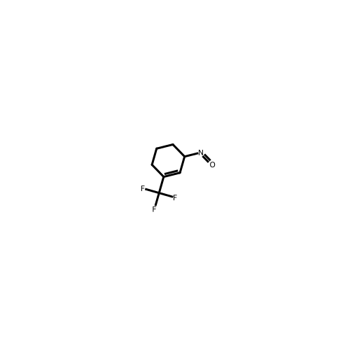 O=NC1C=C(C(F)(F)F)CCC1